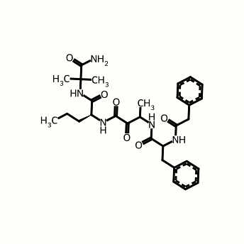 CCC[C@H](NC(=O)C(=O)C(C)NC(=O)C(Cc1ccccc1)NC(=O)Cc1ccccc1)C(=O)NC(C)(C)C(N)=O